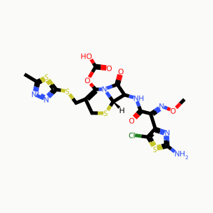 CON=C(C(=O)NC1C(=O)N2C(OC(=O)O)=C(CSc3nnc(C)s3)CS[C@@H]12)c1nc(N)sc1Cl